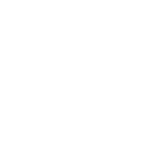 O=C(O)c1cc2ccc(Cl)c(C(F)(F)F)c2s1